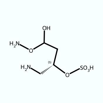 NC[C@H](CC(O)ON)OS(=O)(=O)O